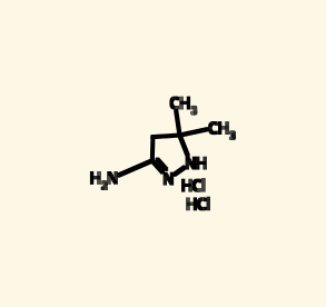 CC1(C)CC(N)=NN1.Cl.Cl